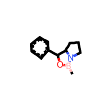 CB1OC(c2ccccc2)C2CCCN12